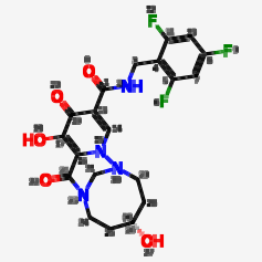 O=C(NCc1c(F)cc(F)cc1F)c1cn2c(c(O)c1=O)C(=O)N1CC[C@@H](O)CCN2C1